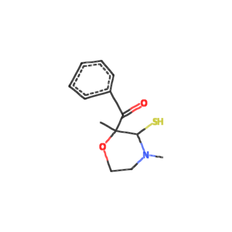 CN1CCOC(C)(C(=O)c2ccccc2)C1S